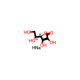 O=C1O[C@H]([C@@H](O)CO)C(O)=C1O.[NaH]